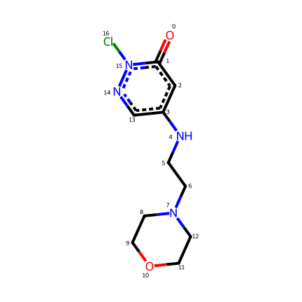 O=c1cc(NCCN2CCOCC2)cnn1Cl